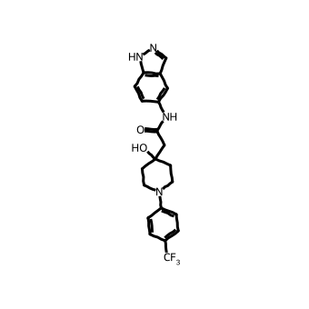 O=C(CC1(O)CCN(c2ccc(C(F)(F)F)cc2)CC1)Nc1ccc2[nH]ncc2c1